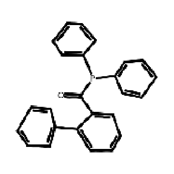 O=C(c1ccccc1-c1ccccc1)P(c1ccccc1)c1ccccc1